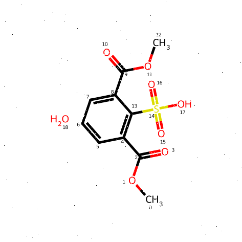 COC(=O)c1cccc(C(=O)OC)c1S(=O)(=O)O.O